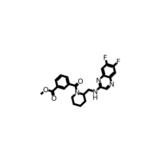 COC(=O)c1cccc(C(=O)N2CCCCC2CNc2cnc3cc(F)c(F)cc3n2)c1